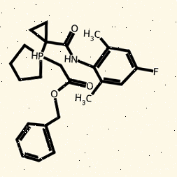 Cc1cc(F)cc(C)c1NC(=O)C1([PH]2(CC(=O)OCc3ccccc3)CCCC2)CC1